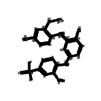 COc1cc(P(C)(C)=O)ccc1Nc1ncc(Cl)c(Nc2ccc(C#N)cc2OC(F)(F)F)n1